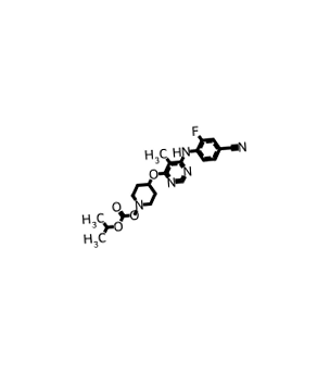 Cc1c(Nc2ccc(C#N)cc2F)ncnc1OC1CCN(OC(=O)OC(C)C)CC1